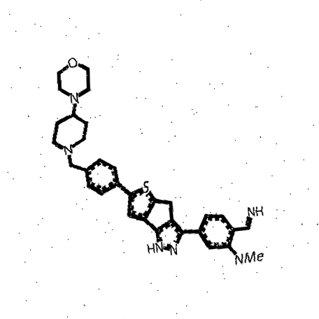 CNc1cc(-c2n[nH]c3c2Cc2sc(-c4ccc(CN5CCC(N6CCOCC6)CC5)cc4)cc2-3)ccc1C=N